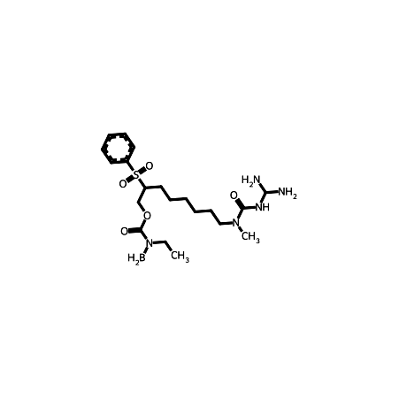 BN(CC)C(=O)OCC(CCCCCCN(C)C(=O)NC(N)N)S(=O)(=O)c1ccccc1